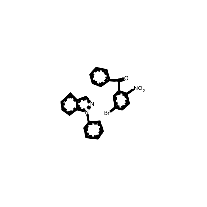 O=C(c1ccccc1)c1cc(Br)ccc1[N+](=O)[O-].c1ccc(-n2ncc3ccccc32)cc1